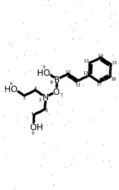 OCCN(CCO)OB(O)C=Cc1ccccc1